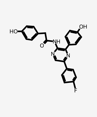 O=C(Cc1ccc(O)cc1)Nc1ncc(-c2ccc(F)cc2)nc1-c1ccc(O)cc1